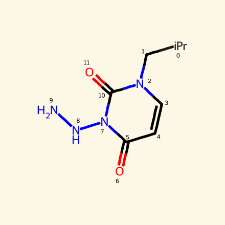 CC(C)Cn1ccc(=O)n(NN)c1=O